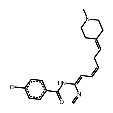 C=N/C(=C\C=C/CC=C1CCN(C)CC1)NC(=O)c1ccc(Cl)cc1